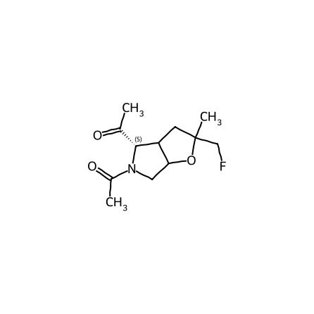 CC(=O)[C@@H]1C2CC(C)(CF)OC2CN1C(C)=O